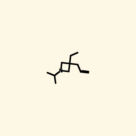 C=CCC1(CC)CN(C(C)C)C1